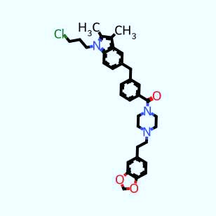 Cc1c(C)n(CCCCl)c2ccc(Cc3cccc(C(=O)N4CCN(CCc5ccc6c(c5)OCO6)CC4)c3)cc12